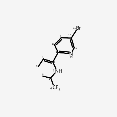 CC=C(NC(C)C(F)(F)F)c1ccc(Br)cn1